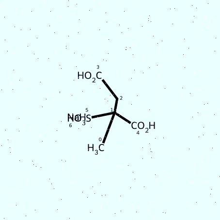 CC(CC(=O)O)(C(=O)O)S(=O)(=O)O.[NaH]